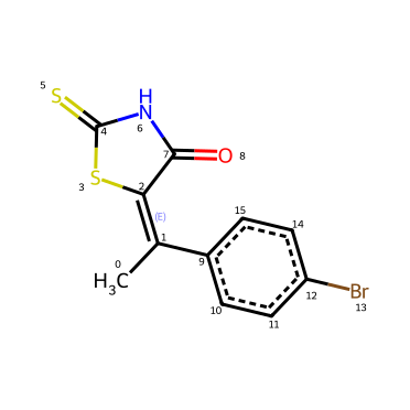 C/C(=C1\SC(=S)NC1=O)c1ccc(Br)cc1